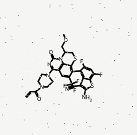 C=CC(=O)N1CCN(c2nc(=O)n3c4c(c(-c5c(F)cc(F)c6sc(N)c(C#N)c56)c(C(F)(F)F)cc24)SCC3COC)CC1